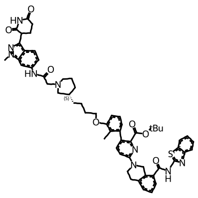 Cc1c(OCCCC[C@H]2CCCN(CC(=O)Nc3ccc4c(C5CCC(=O)NC5=O)nn(C)c4c3)C2)cccc1-c1ccc(N2CCc3cccc(C(=O)Nc4nc5ccccc5s4)c3C2)nc1C(=O)OC(C)(C)C